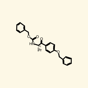 CC(C)[C@H](NC(=O)OCc1ccccc1)C(=O)c1ccc(OCc2ccccc2)cc1